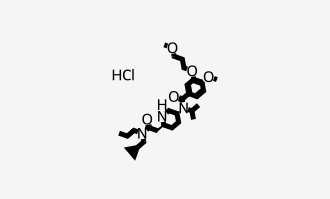 CCCN(CC1CC1)C(=O)C[C@@H]1CC[C@@H](N(C(=O)c2ccc(OC)c(OCCCOC)c2)C(C)C)CN1.Cl